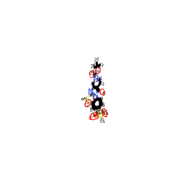 C[S+]([O-])c1nc2c(c(=O)n1-c1ccc(S(C)(=O)=O)cc1)CCN(C(=O)OC(C)(C)C)C2